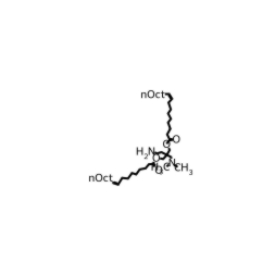 CCCCCCCC/C=C\CCCCCCCC(=O)OCC(CCN)(COC(=O)CCCCCCC/C=C\CCCCCCCC)CN(C)C